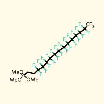 CO[Si](CCC(F)(F)C(F)(F)C(F)(F)C(F)(F)C(F)(F)C(F)(F)C(F)(F)C(F)(F)C(F)(F)C(F)(F)C(F)(F)C(F)(F)C(F)(F)F)(OC)OC